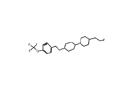 FCCC1CCC(C2CCC(CCc3ccc(OC(F)(F)F)cc3)CC2)CC1